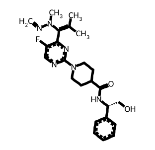 C=NN(C)C(=C(C)C)c1nc(N2CCC(C(=O)N[C@H](CO)c3ccccc3)CC2)ncc1F